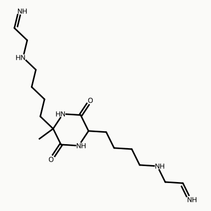 CC1(CCCCNCC=N)NC(=O)C(CCCCNCC=N)NC1=O